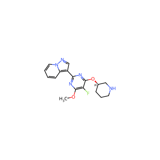 COc1nc(-c2cnn3ccccc23)nc(O[C@@H]2CCCNC2)c1F